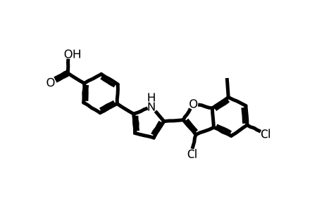 Cc1cc(Cl)cc2c(Cl)c(-c3ccc(-c4ccc(C(=O)O)cc4)[nH]3)oc12